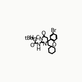 CN1C(=O)CC2(CC3(CCCCC3)Oc3ccc(Br)cc32)N=C1NC(=O)OC(C)(C)C